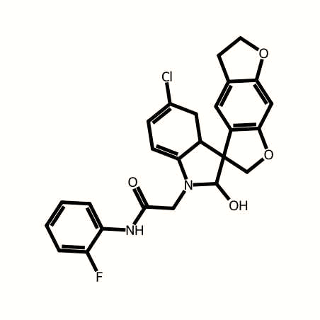 O=C(CN1C2=CC=C(Cl)CC2C2(COc3cc4c(cc32)CCO4)C1O)Nc1ccccc1F